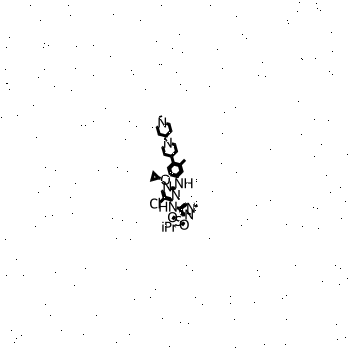 Cc1cc(Nc2ncc(Cl)c(Nc3cn(C)nc3S(=O)(=O)C(C)C)n2)c(OC2CC2)cc1C1CCN(C2CCN(C)CC2)CC1